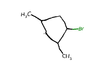 CC1[CH]C(C)C(Br)C1